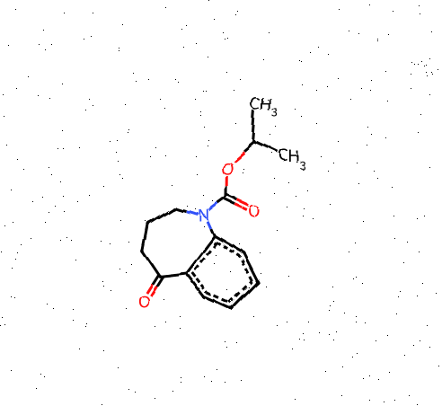 CC(C)OC(=O)N1CCCC(=O)c2ccccc21